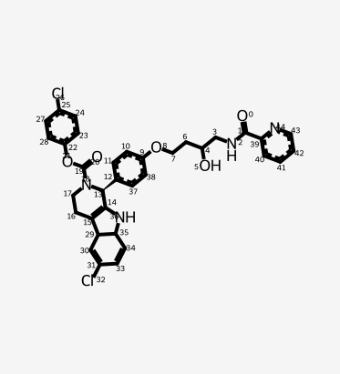 O=C(NCC(O)CCOc1ccc([C@H]2C3=C(CCN2C(=O)Oc2ccc(Cl)cc2)C2C=C(Cl)C=CC2N3)cc1)c1ccccn1